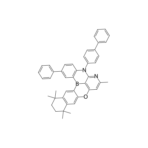 Cc1cc2c3c(n1)N(c1ccc(-c4ccccc4)cc1)c1ccc(-c4ccccc4)cc1B3c1cc3c(cc1O2)C(C)(C)CCC3(C)C